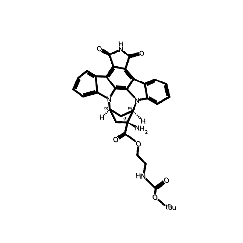 CC(C)(C)OC(=O)NCCOC(=O)[C@]1(N)C[C@@H]2C[C@H]1n1c3ccccc3c3c4c(c5c6ccccc6n2c5c31)C(=O)NC4=O